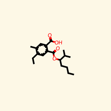 CCCCC(OC(=O)c1cc(CC)c(C)cc1C(=O)O)C(C)C